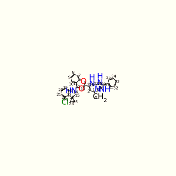 C=C1C=C(COc2ccccc2C(=O)NCC2(c3ccccc3Cl)CC2)NC2NC(c3ccccc3)NN12